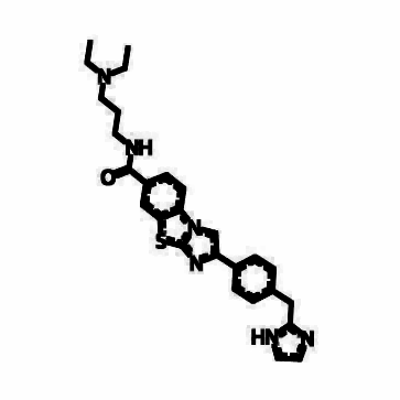 CCN(CC)CCCNC(=O)c1ccc2c(c1)sc1nc(-c3ccc(Cc4ncc[nH]4)cc3)cn12